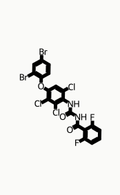 O=C(NC(=O)c1c(F)cccc1F)Nc1c(Cl)cc(Oc2ccc(Br)cc2Br)c(Cl)c1Cl